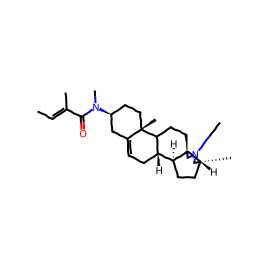 C/C=C(\C)C(=O)N(C)[C@H]1CC[C@@]2(C)C(=CC[C@@H]3C2CC[C@]24CN(C)[C@@H](C)[C@H]2CC[C@@H]34)C1